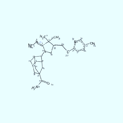 CC1(C)/C(=N/C#N)N(C2C3CC4CC2CC(C(N)=O)(C4)C3)CC1COc1ccc(C#N)cn1